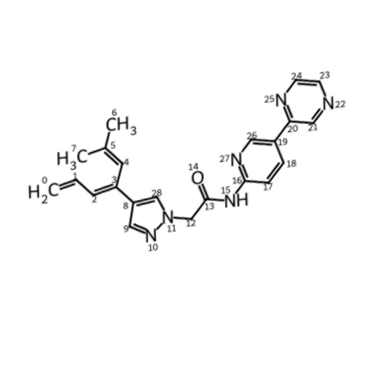 C=C/C=C(\C=C(C)C)c1cnn(CC(=O)Nc2ccc(-c3cnccn3)cn2)c1